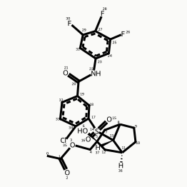 CC(=O)OC[C@]1(O)CC2CC[C@@H](C1)[C@@H]2S(=O)(=O)c1cc(C(=O)Nc2cc(F)c(F)c(F)c2)ccc1Cl